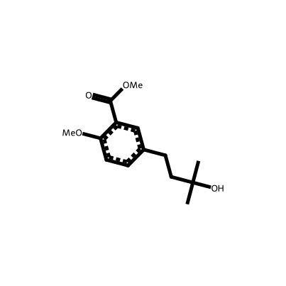 COC(=O)c1cc(CCC(C)(C)O)ccc1OC